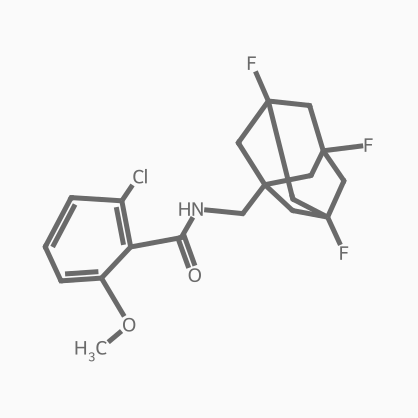 COc1cccc(Cl)c1C(=O)NCC12CC3(F)CC(F)(CC(F)(C3)C1)C2